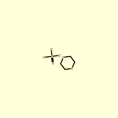 C1COCCO1.O=P(Cl)(Cl)Cl